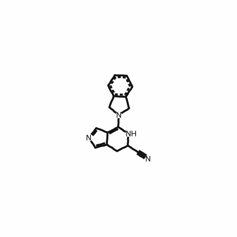 N#CC1CC2=CN=CC2=C(N2Cc3ccccc3C2)N1